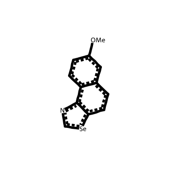 COc1ccc2c(ccc3[se]cnc32)c1